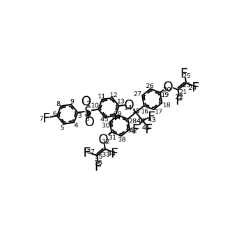 O=S(=O)(c1ccc(F)cc1)c1ccc(OC(c2ccc(OC(F)=C(F)F)cc2)(c2ccc(OC(F)=C(F)F)cc2)C(F)(F)F)cc1